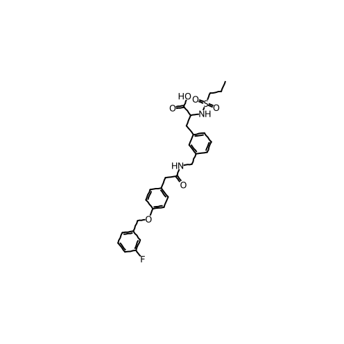 CCCS(=O)(=O)NC(Cc1cccc(CNC(=O)Cc2ccc(OCc3cccc(F)c3)cc2)c1)C(=O)O